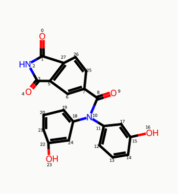 O=C1NC(=O)c2cc(C(=O)N(c3cccc(O)c3)c3cccc(O)c3)ccc21